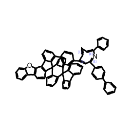 C1=C/C(c2ccc(-c3cccc4c3C3(c5ccccc5C5(c6ccccc6-c6ccccc65)c5ccccc53)c3ccc5c(oc6ccccc65)c3-4)cc2)=C\C(c2ccc(-c3ccccc3)cc2)=N/C(c2ccccc2)=C/1